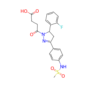 CS(=O)(=O)Nc1ccc(C2=NN(C(=O)CCC(=O)O)C(c3ccccc3F)C2)cc1